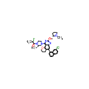 C=C(F)C(=O)N1CCN(c2nc(OC[C@@H]3CCCN3C)nc3cc(-c4cccc5ccc(Cl)cc45)c4c(c23)OCCC4)C[C@@H]1CC#N